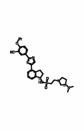 CC(C)Oc1ccc(-c2ncc(-c3cccc4c3CC[C@H]4NS(=O)(=O)CCN3CC[C@@H](N(C)C)C3)s2)cc1C#N